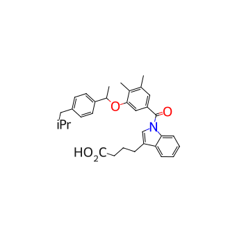 Cc1cc(C(=O)n2cc(CCCC(=O)O)c3ccccc32)cc(OC(C)c2ccc(CC(C)C)cc2)c1C